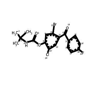 CC(C)(C)NC(=O)Oc1cc(Br)c(C(=O)c2ccc(F)cc2)cc1Cl